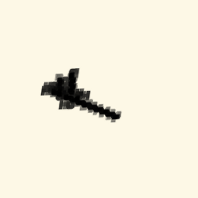 CCCCCCCCCCCCCCC(O)C(O)C(COOC(CO)C(O)C(O)C(C)O)NC(=O)CCCCCl